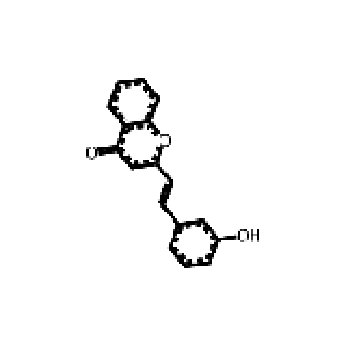 O=c1cc(C=Cc2cccc(O)c2)oc2ccccc12